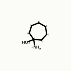 NC1(O)CCCCCC1